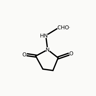 O=[C]NN1C(=O)CCC1=O